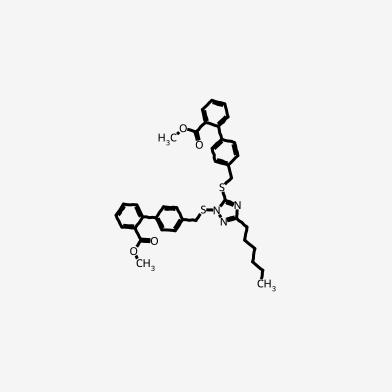 CCCCCCc1nc(SCc2ccc(-c3ccccc3C(=O)OC)cc2)n(SCc2ccc(-c3ccccc3C(=O)OC)cc2)n1